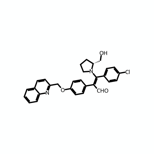 O=CC(=C(c1ccc(Cl)cc1)N1CCC[C@@H]1CO)c1ccc(OCc2ccc3ccccc3n2)cc1